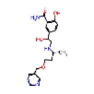 CC(CCOCc1cncnc1)NCC(O)c1ccc(O)c(C(N)=O)c1